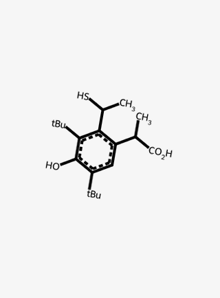 CC(S)c1c(C(C)C(=O)O)cc(C(C)(C)C)c(O)c1C(C)(C)C